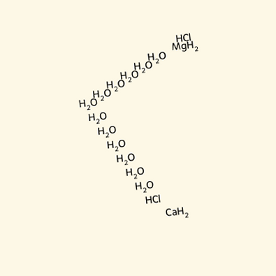 Cl.Cl.O.O.O.O.O.O.O.O.O.O.O.O.[CaH2].[MgH2]